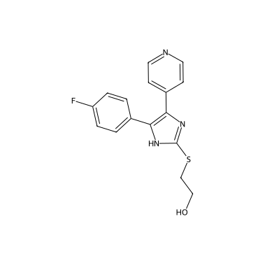 OCCSc1nc(-c2ccncc2)c(-c2ccc(F)cc2)[nH]1